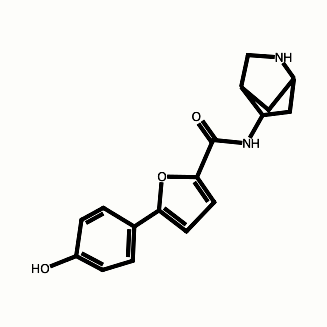 O=C(NC1CC2CC1CN2)c1ccc(-c2ccc(O)cc2)o1